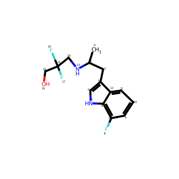 CC(Cc1c[nH]c2c(F)cccc12)NCC(F)(F)CO